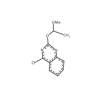 COC(C)Oc1nc(Cl)c2ccccc2n1